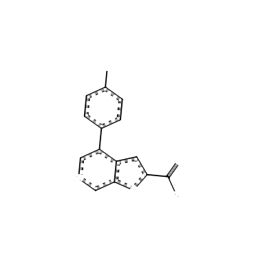 NC(=O)c1cc2c(-c3ccc(Cl)cc3)cncc2s1